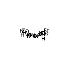 CCc1cc2ncc(CN3CCN(c4ccc(NC(=O)C5CC5(F)F)nc4)CC3)cc2[nH]c1=O